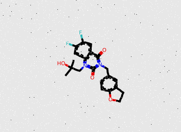 CC(C)(O)Cn1c(=O)n(Cc2ccc3c(c2)CCO3)c(=O)c2cc(F)c(F)cc21